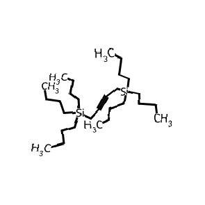 CCCC[Si](CC#CC[Si](CCCC)(CCCC)CCCC)(CCCC)CCCC